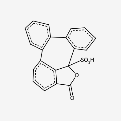 O=C1OC2(S(=O)(=O)O)c3ccccc3-c3ccccc3-c3cccc1c32